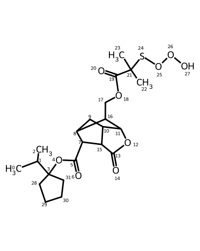 CC(C)C1(OC(=O)C2C3CC4C(OC(=O)C42)C3COC(=O)C(C)(C)SOOO)CCCC1